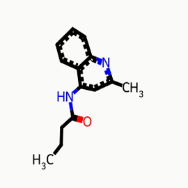 CCCC(=O)Nc1cc(C)nc2ccccc12